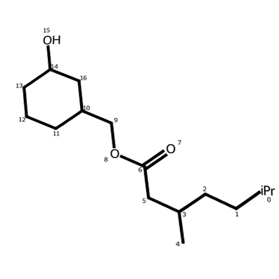 CC(C)CCC(C)CC(=O)OCC1CCCC(O)C1